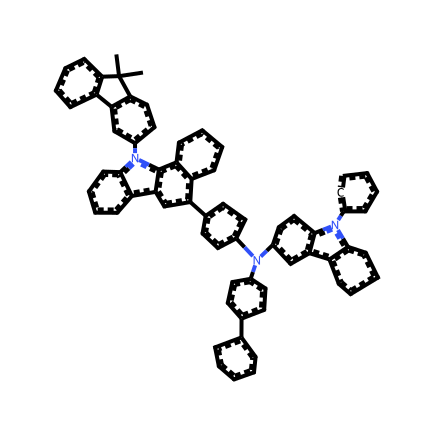 CC1(C)c2ccccc2-c2cc(-n3c4ccccc4c4cc(-c5ccc(N(c6ccc(-c7ccccc7)cc6)c6ccc7c(c6)c6ccccc6n7-c6ccccc6)cc5)c5ccccc5c43)ccc21